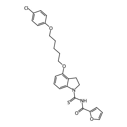 O=C(NC(=S)N1CCc2c(OCCCCCOc3ccc(Cl)cc3)cccc21)c1ccco1